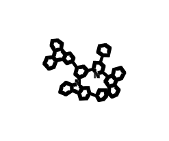 c1ccc(-c2cc(-c3cc(-c4ccc5c6ccccc6c6ccccc6c5c4)cc(-n4c5ccccc5c5ccc(-c6ccccc6)cc54)c3)nc(-c3cc4ccccc4c4ccccc34)c2)cc1